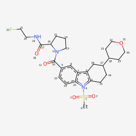 CCS(=O)(=O)n1c2c(c3cc(C(=O)N4CCCC4C(=O)NCCF)ccc31)CC(C1CCOCC1)CC2